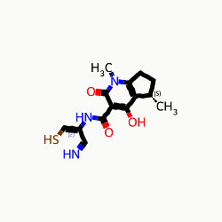 C[C@H]1CCc2c1c(O)c(C(=O)N/C(C=N)=C/S)c(=O)n2C